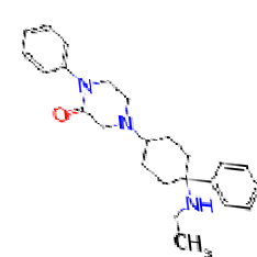 CCNC1(c2ccccc2)CCC(N2CCN(c3ccccc3)C(=O)C2)CC1